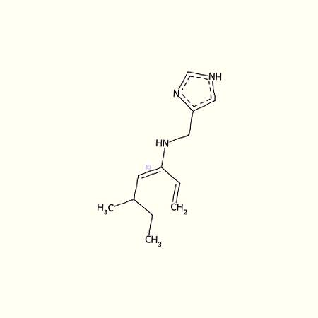 C=C/C(=C\C(C)CC)NCc1c[nH]cn1